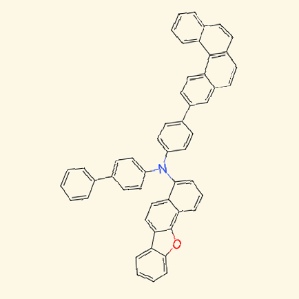 c1ccc(-c2ccc(N(c3ccc(-c4ccc5c(ccc6ccc7ccccc7c65)c4)cc3)c3cccc4c3ccc3c5ccccc5oc43)cc2)cc1